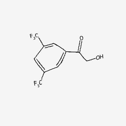 O=C(CO)c1cc(C(F)(F)F)cc(C(F)(F)F)c1